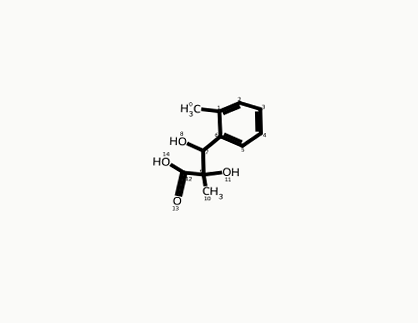 Cc1ccccc1C(O)C(C)(O)C(=O)O